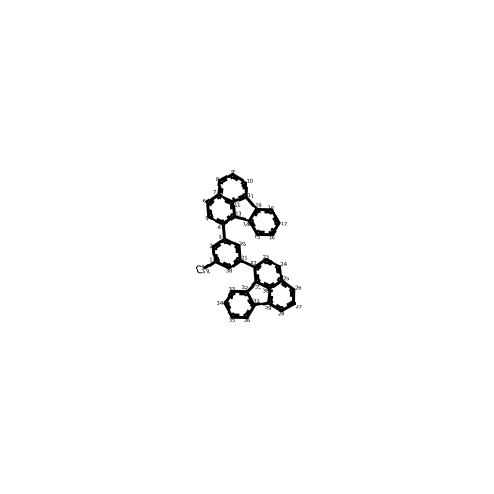 Clc1cc(-c2ccc3cccc4c3c2-c2ccccc2-4)cc(-c2ccc3cccc4c3c2-c2ccccc2-4)c1